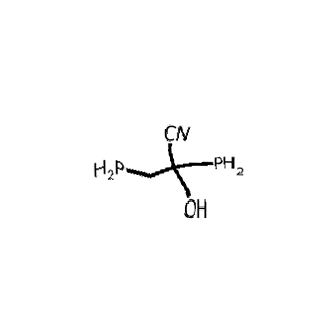 N#CC(O)(P)P